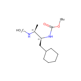 C[C@H](NC(=O)O)[C@H](CC1CCCCC1)NC(=O)OC(C)(C)C